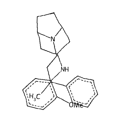 COc1ccccc1NC1CC2CCC(C1)N2CCC(C)c1ccccc1